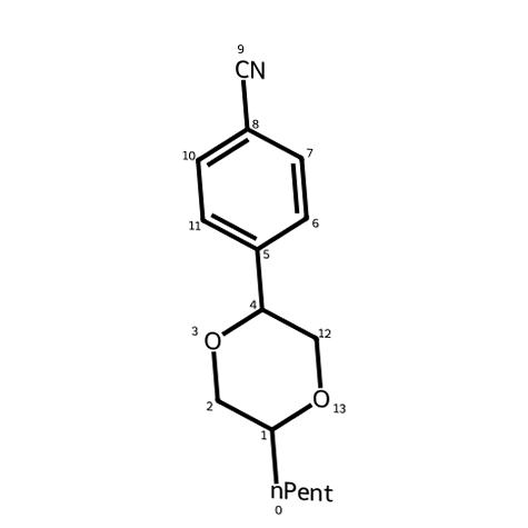 CCCCCC1COC(c2ccc(C#N)cc2)CO1